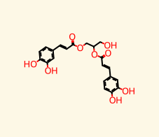 O=C(/C=C/c1ccc(O)c(O)c1)OCC(CO)OC(=O)/C=C/c1ccc(O)c(O)c1